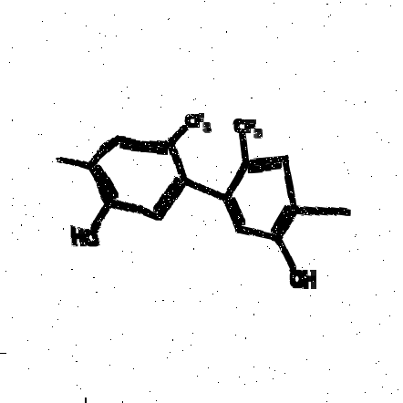 Cc1cc(C(F)(F)F)c(-c2cc(O)c(C)cc2C(F)(F)F)cc1O